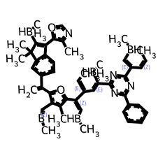 C=C(c1ccc2c(c1)C(C)(C)C(BC)=C2c1ocnc1C)c1oc(C(=C\BC)/C(=C/C)/C=C(\BC)c2nc(C(/C=C\C)=C/BC)nc(-c3ccccc3)n2)c(C)c1/C=B\C